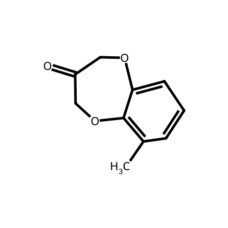 Cc1cccc2c1OCC(=O)CO2